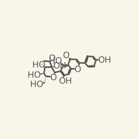 CC(=O)[C@]1(O)C(c2c(O)cc3oc(-c4ccc(O)cc4)cc(=O)c3c2O)O[C@H](CO)[C@@H](O)[C@@H]1O